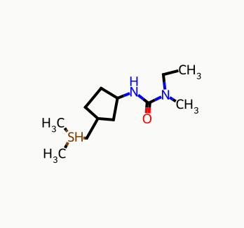 CCN(C)C(=O)NC1CCC(C[SH](C)C)C1